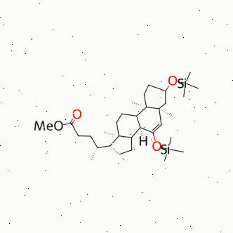 COC(=O)CC[C@@H](C)[C@H]1CCC2[C@@H]3C(O[Si](C)(C)C)=C[C@]4(C)CC(O[Si](C)(C)C)CC[C@]4(C)C3CC[C@@]21C